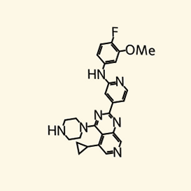 COc1cc(Nc2cc(-c3nc(N4CCNCC4)c4c(C5CC5)cncc4n3)ccn2)ccc1F